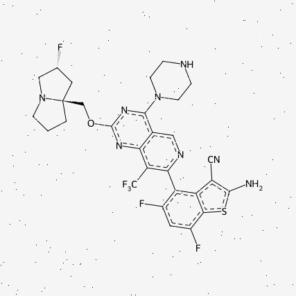 N#Cc1c(N)sc2c(F)cc(F)c(-c3ncc4c(N5CCNCC5)nc(OC[C@@]56CCCN5C[C@H](F)C6)nc4c3C(F)(F)F)c12